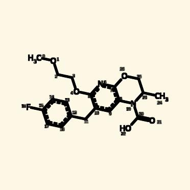 COCCOc1nc2c(cc1Cc1ccc(F)cc1)N(C(=O)O)C(C)CO2